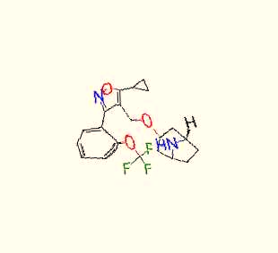 FC(F)(F)Oc1ccccc1-c1noc(C2CC2)c1COC1CC2CC[C@@H](C1)N2